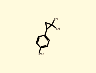 COc1ccc(C2CC2(C#N)C#N)cc1